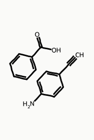 C#Cc1ccc(N)cc1.O=C(O)c1ccccc1